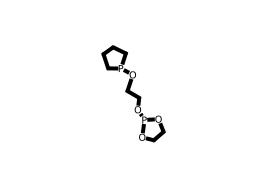 C1CCP(OCCOP2OCCO2)C1